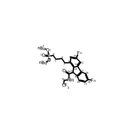 CCCCOP(=O)(CCCCc1cc(F)cc2c1C(C(=O)NCC(F)(F)F)c1ccc(F)cc1-2)OCCCC